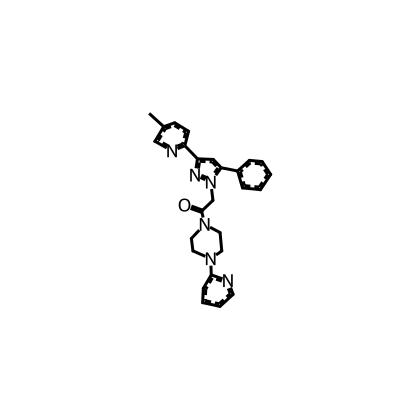 Cc1ccc(-c2cc(-c3ccccc3)n(CC(=O)N3CCN(c4ccccn4)CC3)n2)nc1